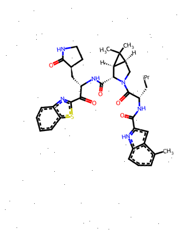 Cc1cccc2[nH]c(C(=O)N[C@@H](CC(C)C)C(=O)N3C[C@H]4[C@@H]([C@H]3C(=O)N[C@@H](C[C@@H]3CCNC3=O)C(=O)c3nc5ccccc5s3)C4(C)C)cc12